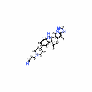 Cc1cc(-c2[nH]c3ccc(C4CCN(CCC#N)CC4)cc3c2C(C)C)cn2ncnc12